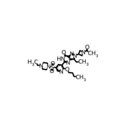 CCCCOc1ncc(S(=O)(=O)N2CCN(CC)CC2)cc1-c1nc2c(CC)n(C3CN(C(C)=O)C3)nc2c(=O)[nH]1